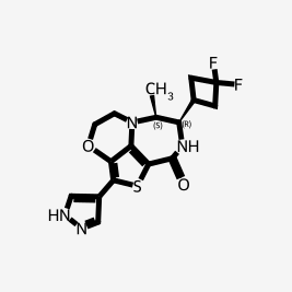 C[C@H]1[C@@H](C2CC(F)(F)C2)NC(=O)c2sc(-c3cn[nH]c3)c3c2N1CCO3